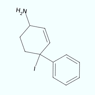 NC1C=CC(I)(c2ccccc2)CC1